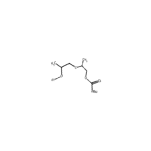 CCCCC(=O)OCC(C)OCC(C)OCC